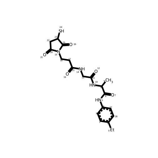 CCc1ccc(NC(=O)C(C)NC(=O)CNC(=O)CCN2C(=O)CC(S)C2=O)cc1